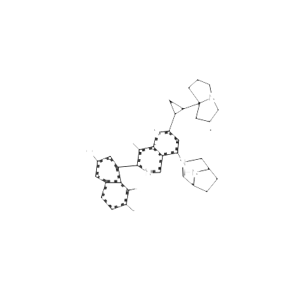 Oc1cc(-c2ncc3c(N4CC5CCC(C4)N5)cc(C4CC4C45CCCN4C[C@H](F)C5)nc3c2F)c2c(Cl)c(F)ccc2c1